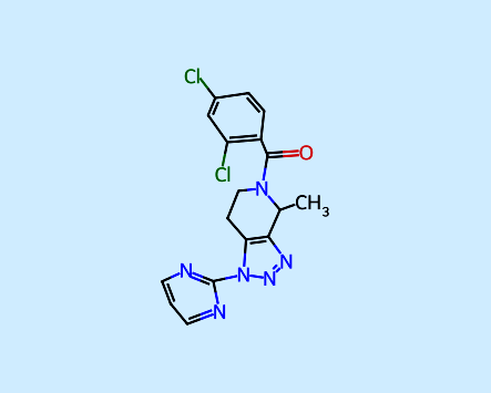 CC1c2nnn(-c3ncccn3)c2CCN1C(=O)c1ccc(Cl)cc1Cl